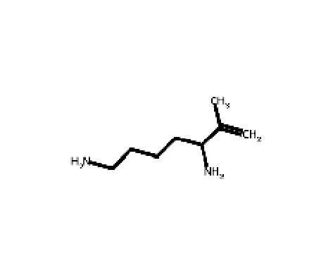 C=C(C)C(N)CCCCN